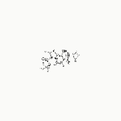 CC1CCC(C(C)N(C)[C@@H](CO)C(=O)NC2CCC2)N1C(=O)OC(C)(C)C